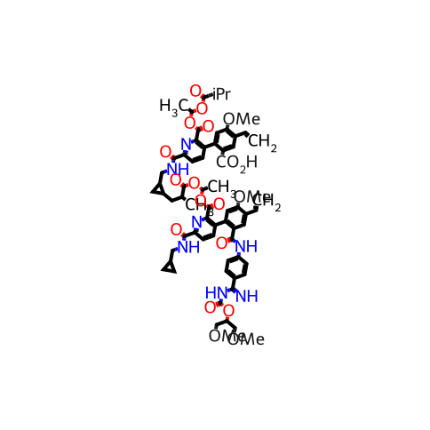 C=Cc1cc(C(=O)O)c(-c2ccc(C(=O)NCC3CC3CC(C)C(=O)OC(C)OC(=O)c3nc(C(=O)NCC4CC4)ccc3-c3cc(OC)c(C=C)cc3C(=O)Nc3ccc(C(=N)NC(=O)OC(COC)COC)cc3)nc2C(=O)OC(C)OC(=O)C(C)C)cc1OC